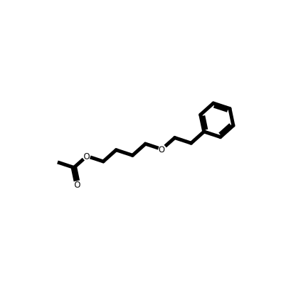 CC(=O)OCCCCOCCc1ccccc1